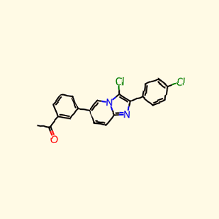 CC(=O)c1cccc(-c2ccc3nc(-c4ccc(Cl)cc4)c(Cl)n3c2)c1